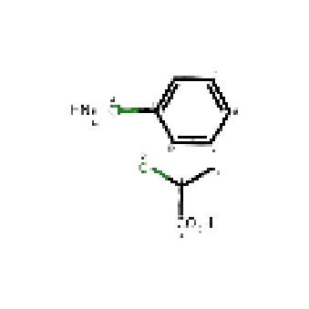 CC(Cl)C(=O)O.Clc1ccccc1.[NaH]